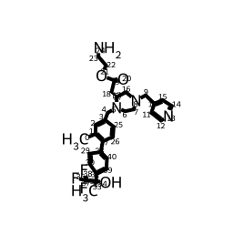 Cc1cc(CN2CCN(Cc3ccncc3)C[C@@H]2CC(=O)OCCN)ccc1-c1ccc(C(C)(O)C(F)(F)F)cc1